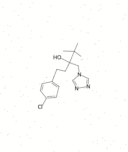 CC(C)(C)C(O)(CCc1ccc(Cl)cc1)Cn1cnnc1